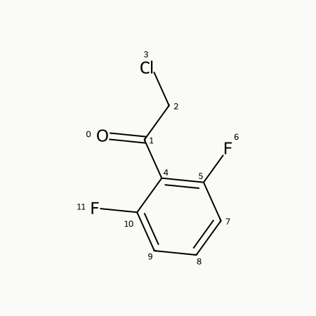 O=C(CCl)c1c(F)cccc1F